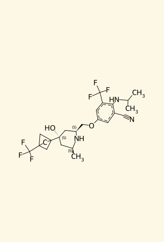 CC(C)Nc1c(C#N)cc(OC[C@@H]2C[C@](O)(C34CC(C(F)(F)F)(C3)C4)C[C@H](C)N2)cc1C(F)(F)F